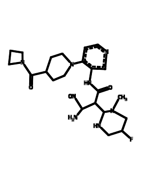 CN1CC(F)CNC1C(C(=O)Nc1cnccc1N1CCC(C(=O)N2CCC2)CC1)C(N)N=O